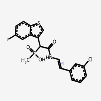 CP(=O)(O)C(C(=O)N/C=C/c1cccc(Cl)c1)c1csc2ccc(I)cc12